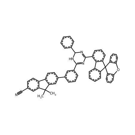 CC1(C)c2cc(C#N)ccc2-c2ccc(-c3cccc(C4=NC(c5cccc6c5-c5ccccc5C65c6ccccc6Oc6ccccc65)=NC(c5ccccc5)N4)c3)cc21